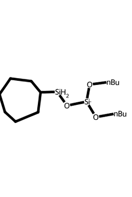 CCCCO[Si](OCCCC)O[SiH2]C1CCCCCC1